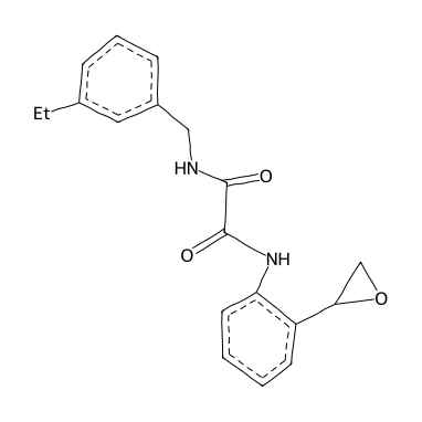 CCc1cccc(CNC(=O)C(=O)Nc2ccccc2C2CO2)c1